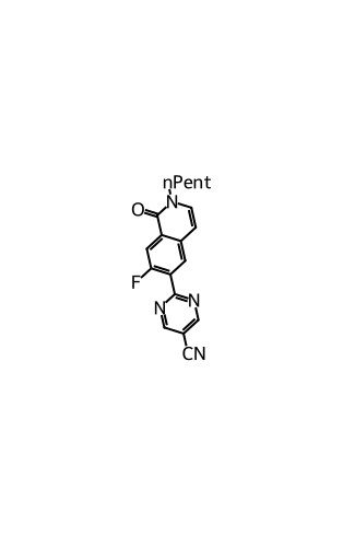 CCCCCn1ccc2cc(-c3ncc(C#N)cn3)c(F)cc2c1=O